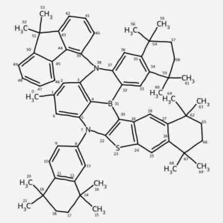 Cc1cc2c3c(c1)N(c1ccc4c(c1)C(C)(C)CCC4(C)C)c1sc4cc5c(cc4c1B3c1cc3c(cc1N2c1cccc2c1-c1ccccc1C2(C)C)C(C)(C)CCC3(C)C)C(C)(C)CCC5(C)C